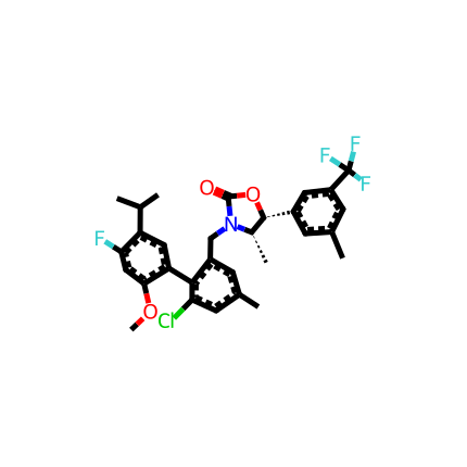 COc1cc(F)c(C(C)C)cc1-c1c(Cl)cc(C)cc1CN1C(=O)O[C@H](c2cc(C)cc(C(F)(F)F)c2)[C@@H]1C